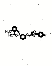 Cc1cccc(CO[C@@H]2CCC[C@@H](OCc3coc(-c4ccc(F)cc4)n3)C2)c1C(=O)O